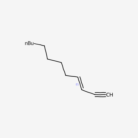 C#C/C=C/CCCCCCCC